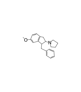 COc1ccc2c(c1)C(Cc1ccccc1)C(N1CCCC1)C2